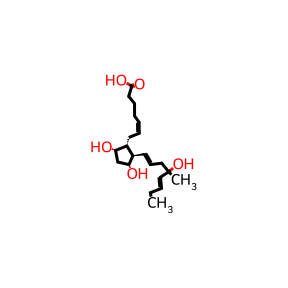 CC/C=C/C(C)(O)C/C=C/[C@@H]1[C@@H](C/C=C\CCCC(=O)O)[C@@H](O)C[C@H]1O